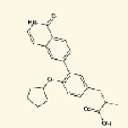 CC(Cc1ccc(OC2CCCC2)c(-c2ccc3c(=O)[nH]ccc3c2)c1)C(=O)O